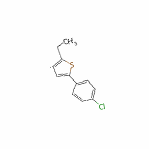 CCc1[c]cc(-c2ccc(Cl)cc2)s1